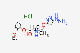 CCOCc1ccccc1OCC(O)CNC(C)(C)COc1ccc(NN)nn1.Cl